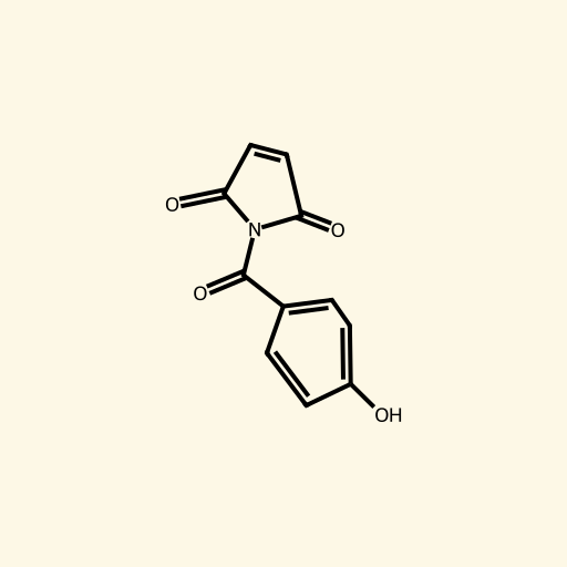 O=C1C=CC(=O)N1C(=O)c1ccc(O)cc1